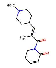 C/C(=C\C1CCN(C(=O)O)CC1)C(=O)N1CCC=CC1=O